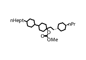 CCCCCCCC1CCC(C2CCC(CC[C@H]3CC[C@H](CCC)CC3)(OC(=O)OC)CC2)CC1